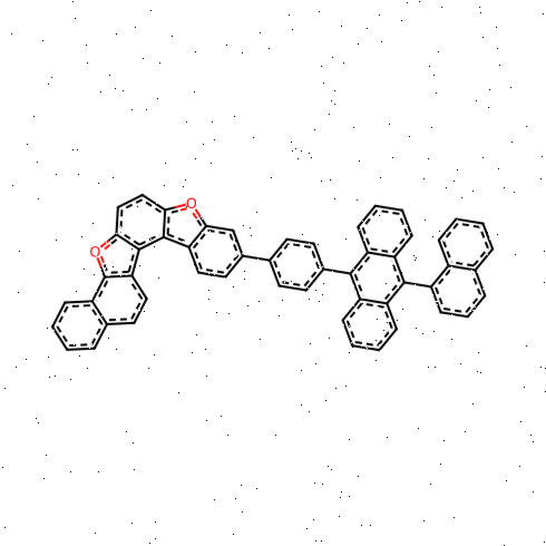 c1ccc2c(-c3c4ccccc4c(-c4ccc(-c5ccc6c(c5)oc5ccc7oc8c9ccccc9ccc8c7c56)cc4)c4ccccc34)cccc2c1